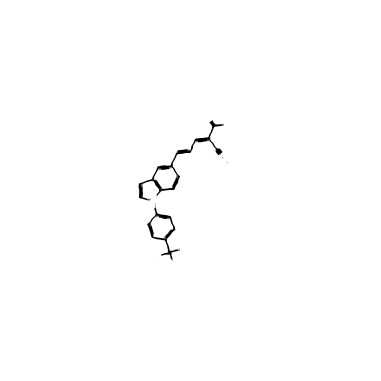 N#C/C(=C\C=C\c1ccc2c(ccn2-c2ccc(C(F)(F)F)cc2)c1)C(=O)O